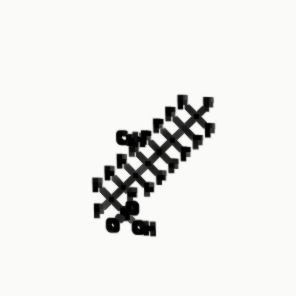 O=S(=O)(O)C(F)(F)C(F)(F)C(F)(F)C(F)(F)C(F)(F)C(F)(F)C(F)(F)C(F)(F)F.[CsH]